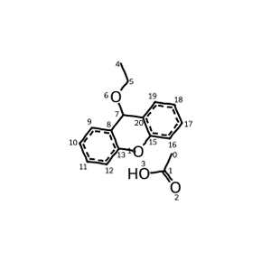 CC(=O)O.CCOC1c2ccccc2Oc2ccccc21